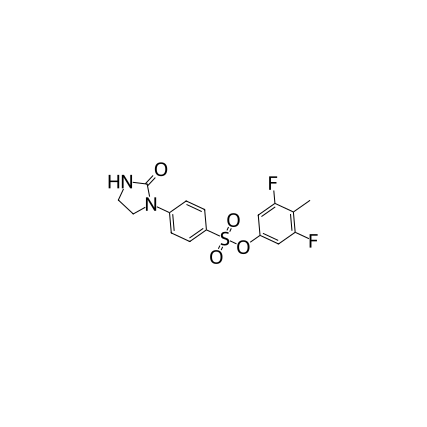 Cc1c(F)cc(OS(=O)(=O)c2ccc(N3CCNC3=O)cc2)cc1F